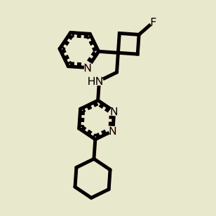 FC1CC(CNc2ccc(C3CCCCC3)nn2)(c2ccccn2)C1